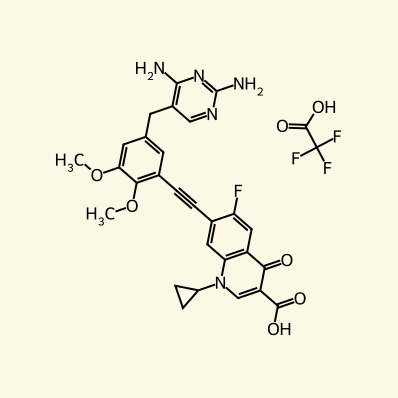 COc1cc(Cc2cnc(N)nc2N)cc(C#Cc2cc3c(cc2F)c(=O)c(C(=O)O)cn3C2CC2)c1OC.O=C(O)C(F)(F)F